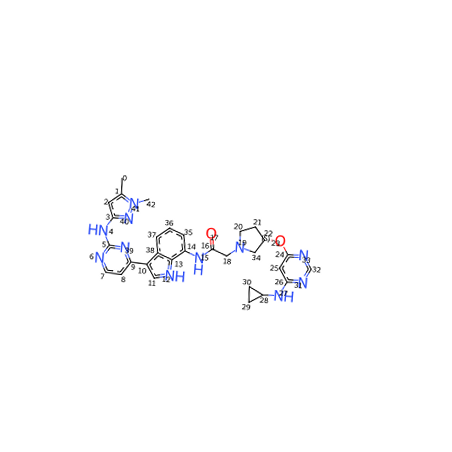 Cc1cc(Nc2nccc(-c3c[nH]c4c(NC(=O)CN5CC[C@H](Oc6cc(NC7CC7)ncn6)C5)cccc34)n2)nn1C